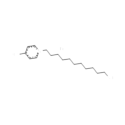 Cc1cc[n+](CCCCCCCCCCCS)cc1.[Br-]